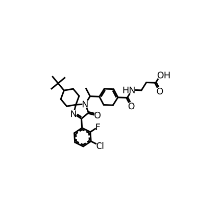 CC(C1=CC=C(C(=O)NCCC(=O)O)CC1)N1C(=O)C(c2cccc(Cl)c2F)=NC12CCC(C(C)(C)C)CC2